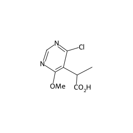 COc1ncnc(Cl)c1C(C)C(=O)O